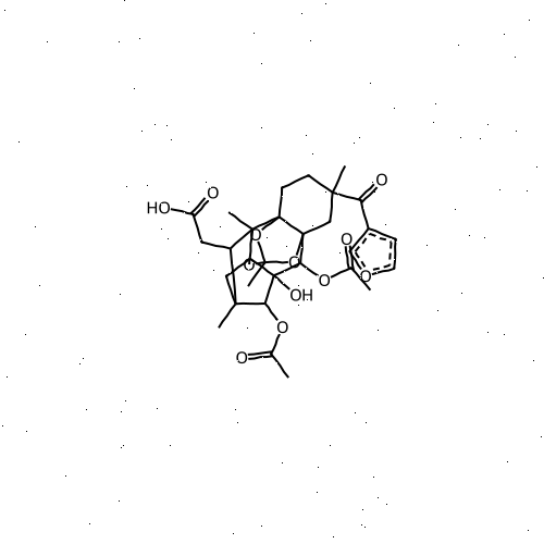 CC(=O)OC1C2(C)CC34OC5(C)OC6(CC(C)(C(=O)c7ccoc7)CCC6(O5)C3(C)C2CC(=O)O)C(OC(C)=O)C14O